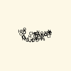 C[C@H](c1c(NC(=O)Nc2cnc(-n3nccn3)c(Cl)c2)cnc2cc(Cl)nn12)N(C)C(=O)C1CCN(CC2CCN(c3cc(C4CCC(=O)NC4=O)ccn3)CC2)CC1